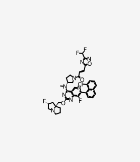 CN(c1nc(OC[C@@]23CCCN2C[C@H](F)C3)nc2c(F)c(-c3cccc4cccc(Cl)c34)ncc12)[C@@H]1CCN(C(=O)/C=C/c2nc(C(F)F)no2)C1